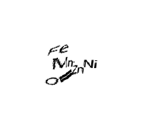 [Fe].[Mn].[Ni].[O]=[Zn]